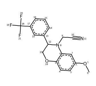 COc1ccc2c(c1)N(CC#N)C(c1cccc(C(F)(F)F)c1)CO2